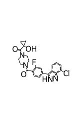 O=C(c1ccc(-c2[nH]nc3c(Cl)cccc23)cc1F)N1CCN(C(=O)C2(O)CC2)CC1